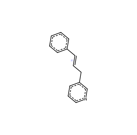 C(=C\c1ccccc1)/Cc1cccnc1